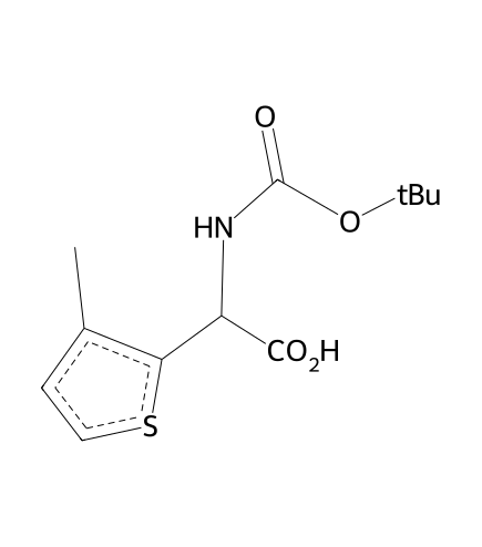 Cc1ccsc1C(NC(=O)OC(C)(C)C)C(=O)O